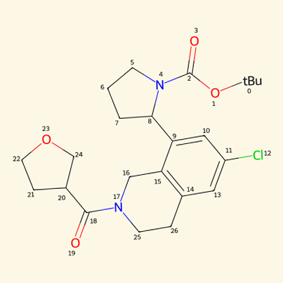 CC(C)(C)OC(=O)N1CCCC1c1cc(Cl)cc2c1CN(C(=O)C1CCOC1)CC2